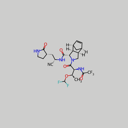 C[C@@H](OC(F)F)[C@H](NC(=O)C(F)(F)F)C(=O)N1C[C@H]2[C@@H]([C@H]1C(=O)N[C@H](C#N)C[C@@H]1CCNC1=O)[C@H]1C=C[C@@H]2C1